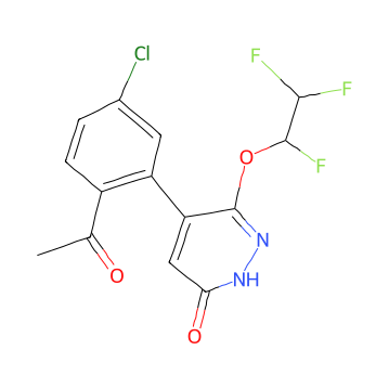 CC(=O)c1ccc(Cl)cc1-c1cc(=O)[nH]nc1OC(F)C(F)F